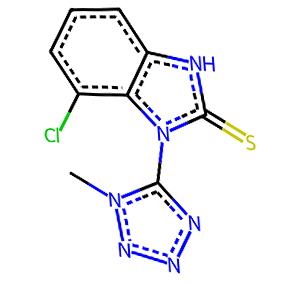 Cn1nnnc1-n1c(=S)[nH]c2cccc(Cl)c21